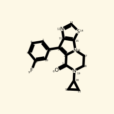 O=C1c2c(-c3cccc(F)c3)c3ncsc3n2CCN1C1CC1